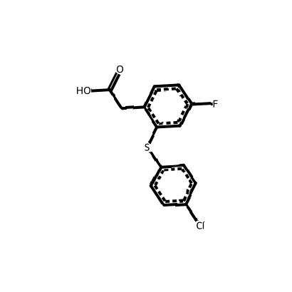 O=C(O)Cc1ccc(F)cc1Sc1ccc(Cl)cc1